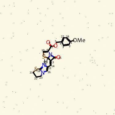 COc1ccc(COC(=O)C2=CS[C@@H]3/C(=C\c4cn5c(n4)SCCC5)C(=O)N23)cc1